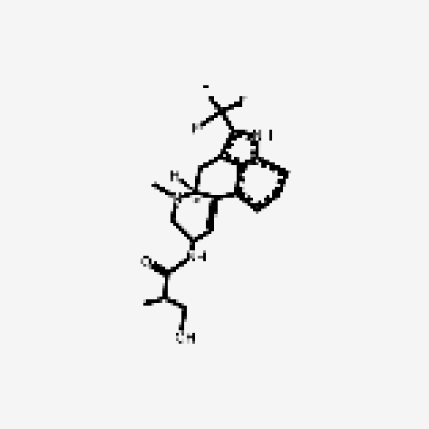 CC(CO)C(=O)NC1C=C2c3cccc4[nH]c(C(F)(F)F)c(c34)C[C@H]2N(C)C1